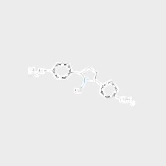 Cc1ccc(C2CCC(c3ccc(C)cc3)P2Cl)cc1